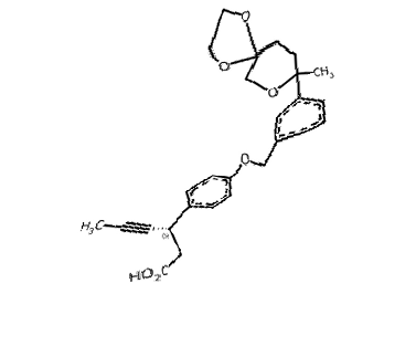 CC#C[C@@H](CC(=O)O)c1ccc(OCc2cccc(C3(C)CCC4(CO3)OCCO4)c2)cc1